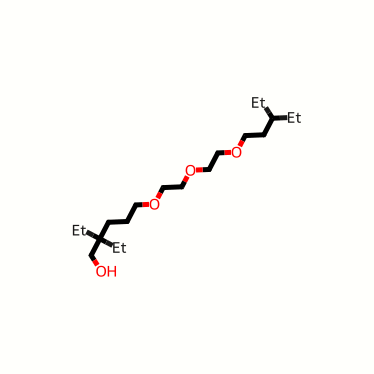 CCC(CC)CCOCCOCCOCCCC(CC)(CC)CO